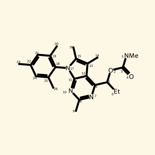 CCC(OC(=O)NC)c1nc(C)nc2c1c(C)c(C)n2-c1c(C)cc(C)cc1C